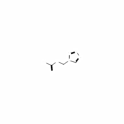 CCC(=O)OCn1[c]nnn1